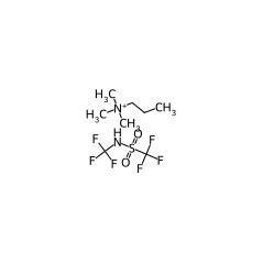 CCC[N+](C)(C)C.O=S(=O)(NC(F)(F)F)C(F)(F)F